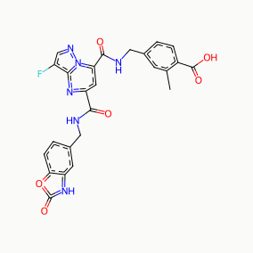 Cc1cc(CNC(=O)c2cc(C(=O)NCc3ccc4oc(=O)[nH]c4c3)nc3c(F)cnn23)ccc1C(=O)O